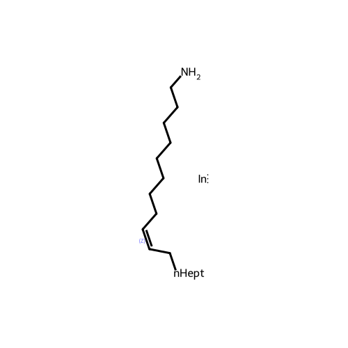 CCCCCCCC/C=C\CCCCCCCCN.[In]